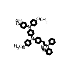 COc1ccc(N(c2ccc(C=C(N=N)N(c3ccccc3)c3ccccc3)cc2)c2ccc(N(c3ccc(OC)cc3)c3ccc(OC)cc3)cc2)cc1